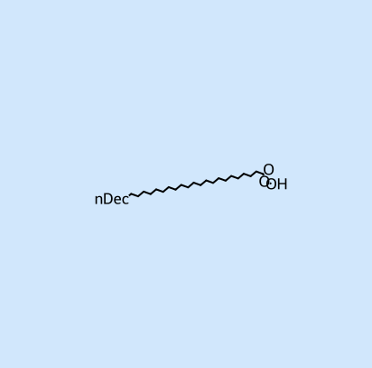 CCCCCCCCCCCCCCCCCCCCCCCCCCCCCCCC(=O)OO